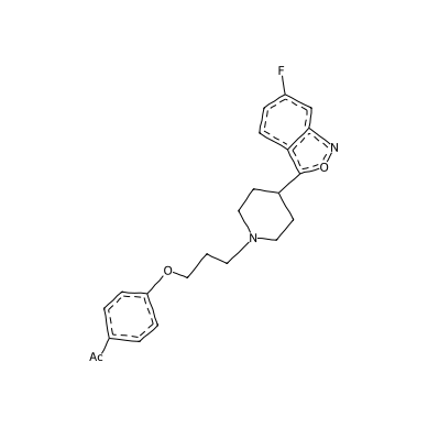 CC(=O)c1ccc(OCCCN2CCC(c3onc4cc(F)ccc34)CC2)cc1